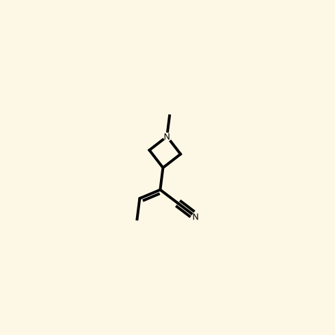 C/C=C(\C#N)C1CN(C)C1